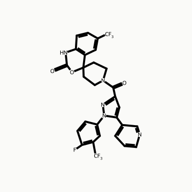 O=C1Nc2ccc(C(F)(F)F)cc2C2(CCN(C(=O)c3cc(-c4cccnc4)n(-c4ccc(F)c(C(F)(F)F)c4)n3)CC2)O1